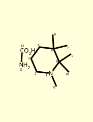 CN1CCCC(C)(C)C1(C)C.NC(=O)O